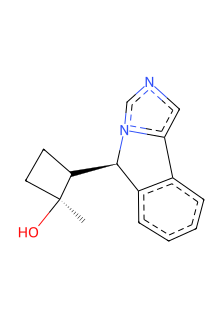 C[C@]1(O)CCC1[C@@H]1c2ccccc2-c2cncn21